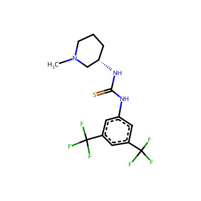 CN1CCC[C@H](NC(=S)Nc2cc(C(F)(F)F)cc(C(F)(F)F)c2)C1